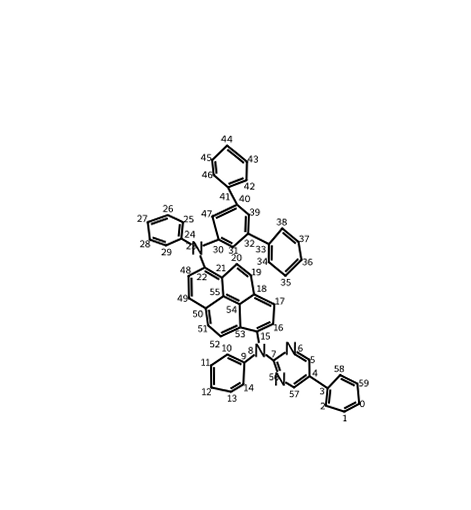 c1ccc(-c2cnc(N(c3ccccc3)c3ccc4ccc5c(N(c6ccccc6)c6cc(-c7ccccc7)cc(-c7ccccc7)c6)ccc6ccc3c4c65)nc2)cc1